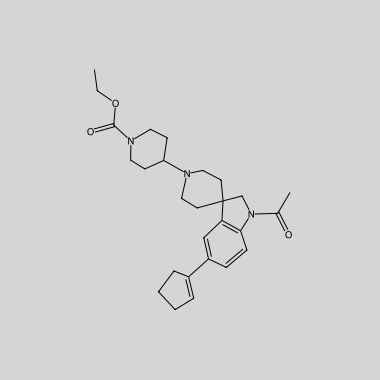 CCOC(=O)N1CCC(N2CCC3(CC2)CN(C(C)=O)c2ccc(C4=CCCC4)cc23)CC1